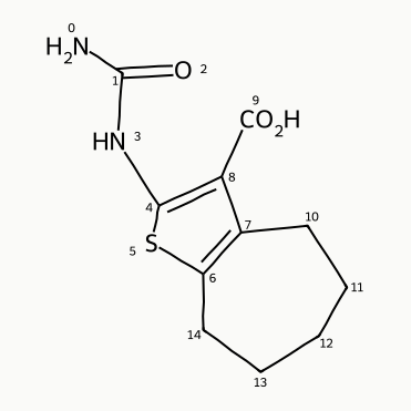 NC(=O)Nc1sc2c(c1C(=O)O)CCCCC2